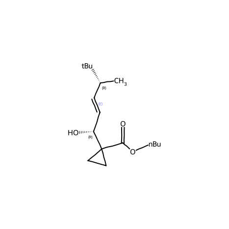 CCCCOC(=O)C1([C@H](O)/C=C/[C@@H](C)C(C)(C)C)CC1